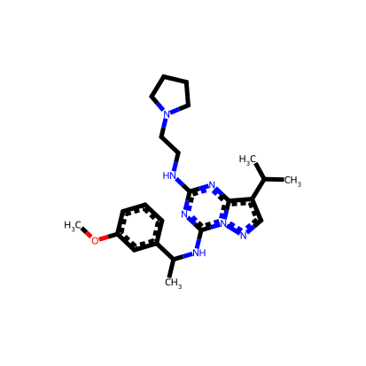 COc1cccc(C(C)Nc2nc(NCCN3CCCC3)nc3c(C(C)C)cnn23)c1